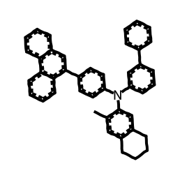 Cc1cc2c(cc1N(c1ccc(-c3cc4ccccc4c4ccccc34)cc1)c1cccc(-c3ccccc3)c1)CCCC2